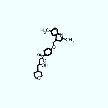 Cc1ccc2nc(C)cc(COc3ccc(S(=O)(=O)CC(O)C=C4CCOCC4)cc3)c2c1